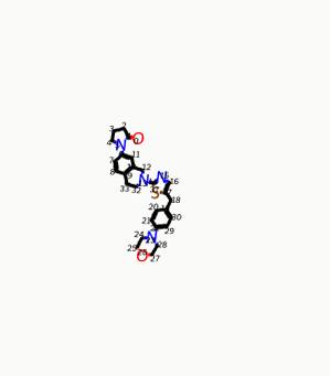 O=C1CCCN1c1ccc2c(c1)CN(c1ncc(Cc3ccc(N4CCOCC4)cc3)s1)CC2